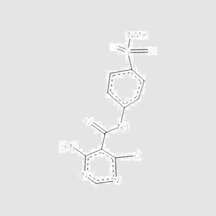 CNS(=O)(=O)c1ccc(NC(=O)c2c(N)ncnc2Cl)cc1